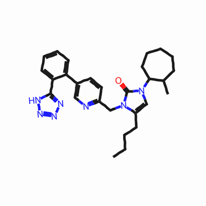 CCCCc1cn(C2CCCCCC2C)c(=O)n1Cc1ccc(-c2ccccc2-c2nnn[nH]2)cn1